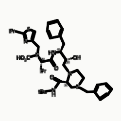 CC(C)c1nc(CN(C(=O)O)[C@H](C(=O)N[C@@H](Cc2ccccc2)[C@H](O)CN2CCN(Cc3ccccc3)C[C@H]2C(=O)NC(C)(C)C)C(C)C)cs1